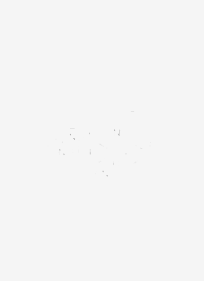 N#Cc1cc(S(=O)(=O)Nc2nccs2)ccc1Oc1ccc(Cl)cc1CN1CCC(F)(F)C1